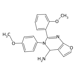 COc1ccc(N2C(c3ccccc3OC)=Nc3occc3C2N)cc1